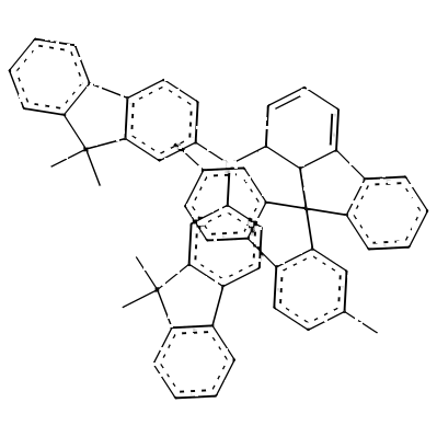 Cc1ccc2c(c1)C1(c3ccccc3C3=CC=CC(N(c4ccc5c(c4)C(C)(C)c4ccccc4-5)c4ccc5c(c4)C(C)(C)c4ccccc4-5)C31)c1cc(C)ccc1-2